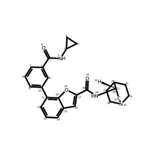 O=C(NC1CC1)c1cccc(-c2cccc3cc(C(=O)N[C@H]4CN5CCC4CC5)oc23)c1